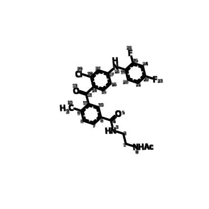 CC(=O)NCCNC(=O)c1ccc(C)c(C(=O)c2ccc(Nc3ccc(F)cc3F)cc2Cl)c1